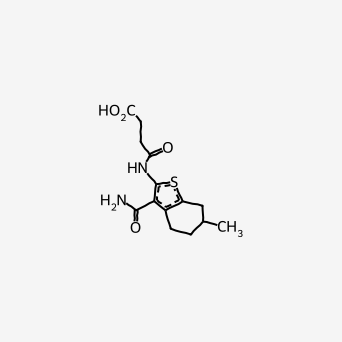 CC1CCc2c(sc(NC(=O)CCC(=O)O)c2C(N)=O)C1